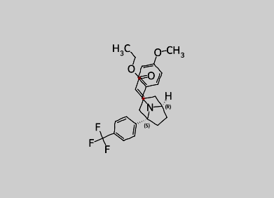 CCOC(=O)C=C1C[C@H]2CC[C@@](c3ccc(C(F)(F)F)cc3)(C1)N2Cc1ccc(OC)cc1